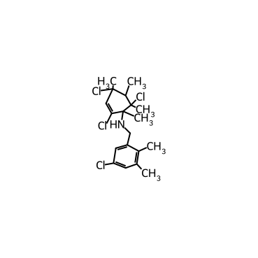 Cc1cc(Cl)cc(CNC2(C)C(Cl)=CC(C)(Cl)C(C)C2(C)Cl)c1C